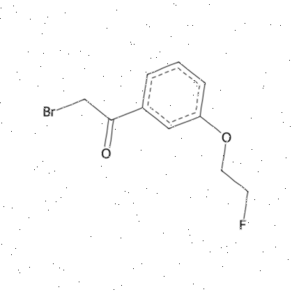 O=C(CBr)c1cccc(OCCF)c1